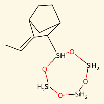 CC=C1C2CCC(C2)C1[SiH]1O[SiH2]O[SiH2]O[SiH2]O1